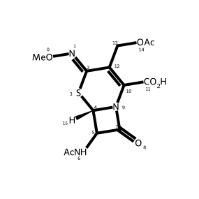 CON=C1S[C@H]2C(NC(C)=O)C(=O)N2C(C(=O)O)=C1COC(C)=O